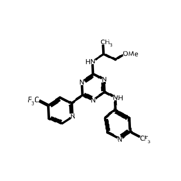 COCC(C)Nc1nc(Nc2ccnc(C(F)(F)F)c2)nc(-c2cc(C(F)(F)F)ccn2)n1